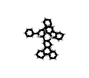 c1ccc(-c2cc(-c3ccccc3)nc(-c3cc4c5ccccc5c5ccccc5c4cc3-n3c4ccccc4c4ccccc43)c2)cc1